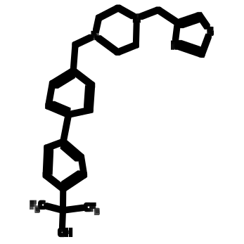 OC(c1ccc(-c2ccc(CN3CCN(Cc4cscn4)CC3)cc2)cc1)(C(F)(F)F)C(F)(F)F